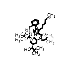 COCCCCc1c(C(=O)N(CC(C)C)[C@H]2C[C@@H](C(O)C(C)C)CN(C(=O)OC(C)(C)C)C2)nnn1-c1ccccc1F